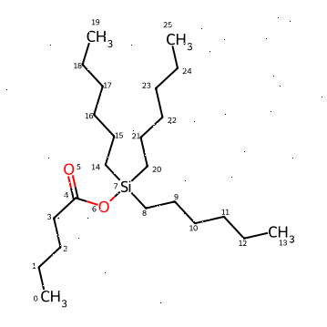 CCC[CH]C(=O)O[Si](CCCCCC)(CCCCCC)CCCCCC